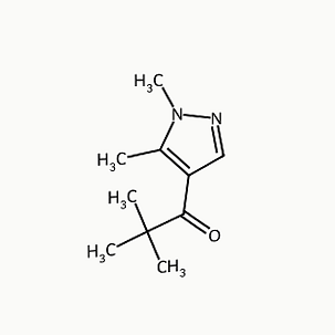 Cc1c(C(=O)C(C)(C)C)cnn1C